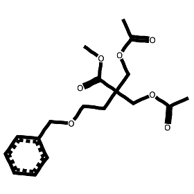 COC(=O)C(CCOCc1ccccc1)(COC(C)=O)COC(C)=O